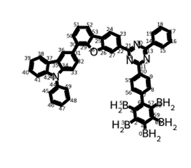 Bc1c(B)c(B)c(-c2ccc(-c3nc(-c4ccccc4)nc(-c4ccc5c(c4)oc4c(-c6ccc7c(c6)c6ccccc6n7-c6ccccc6)cccc45)n3)cc2)c(B)c1B